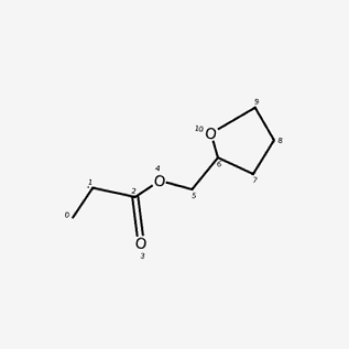 C[CH]C(=O)OCC1CCCO1